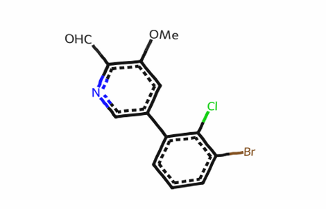 COc1cc(-c2cccc(Br)c2Cl)cnc1C=O